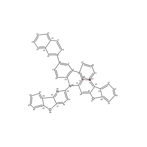 c1ccc(-c2cc(-c3ccc4ccccc4c3)ccc2N(c2cnc3c(c2)oc2ccccc23)c2ccc3oc4ccccc4c3n2)cc1